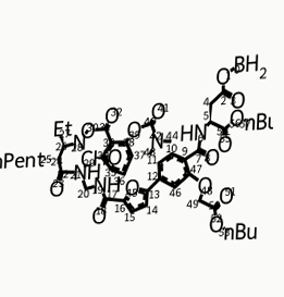 BOC(=O)C[C@H](NC(=O)c1ccc(-c2ccc(C(=O)NCNC(=O)[C@H](CCCCC)[C@@H](CC)N(C=O)OC(=O)c3ccccc3OC(=O)N(C)C)o2)cc1OCC(=O)OCCCC)C(=O)OCCCC